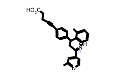 Cc1cc(/C(CC(c2ccc(C#CCCC(=O)O)cc2)c2ccccc2C)=N/O)ccn1